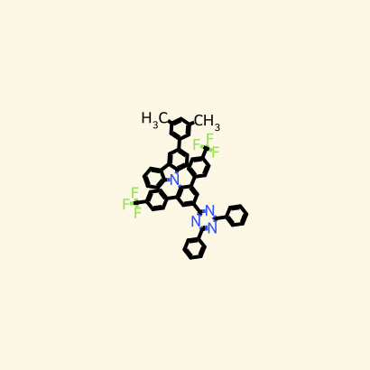 Cc1cc(C)cc(-c2ccc3c(c2)c2ccccc2n3-c2c(-c3ccc(C(F)(F)F)cc3)cc(-c3nc(-c4ccccc4)nc(-c4ccccc4)n3)cc2-c2ccc(C(F)(F)F)cc2)c1